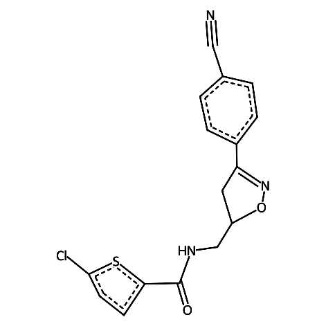 N#Cc1ccc(C2=NOC(CNC(=O)c3ccc(Cl)s3)C2)cc1